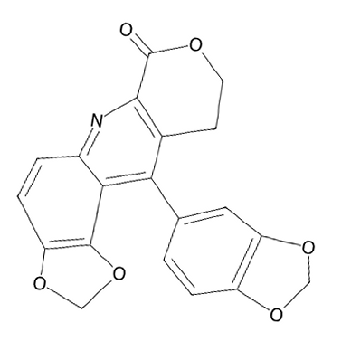 O=C1OCCc2c1nc1ccc3c(c1c2-c1ccc2c(c1)OCO2)OCO3